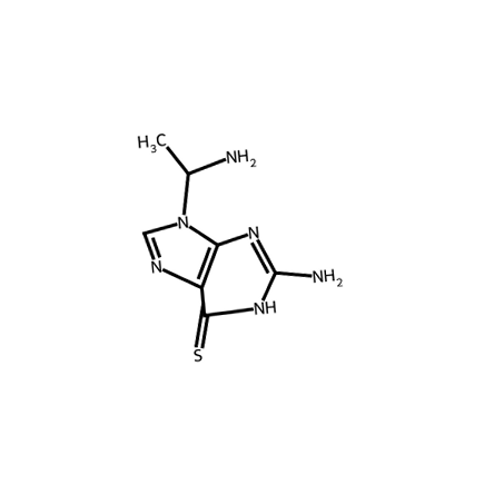 CC(N)n1cnc2c(=S)[nH]c(N)nc21